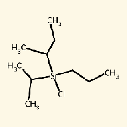 CCC[Si](Cl)(C(C)C)C(C)CC